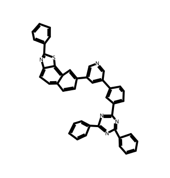 c1ccc(-c2nc(-c3ccccc3)nc(-c3cccc(-c4cncc(-c5ccc6ccc7nc(-c8ccccc8)sc7c6c5)c4)c3)n2)cc1